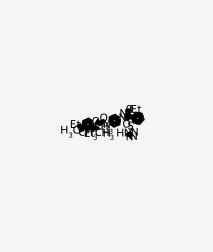 CCOc1nn(-c2ccc(NC(=O)COc3ccc(C(C)(C)CC)cc3C(C)(C)CC)cc2)c(OSc2nnn[nH]2)c1-c1ccccc1